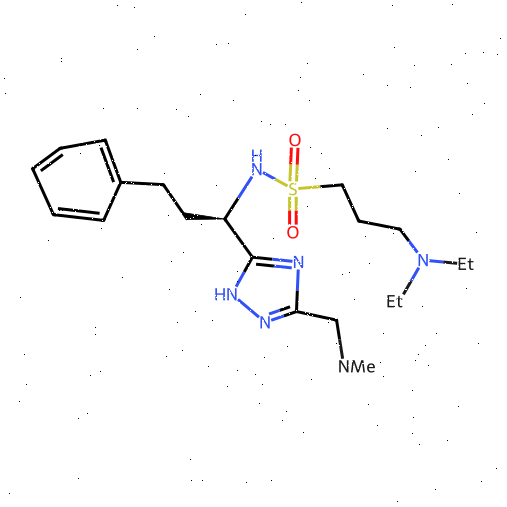 CCN(CC)CCCS(=O)(=O)N[C@H](CCc1ccccc1)c1nc(CNC)n[nH]1